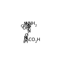 CC(C)C(C(=O)O)c1cc(OCCCN2CCC(n3nc(N)c4nnc(-c5ccccc5O)cc43)CC2)no1